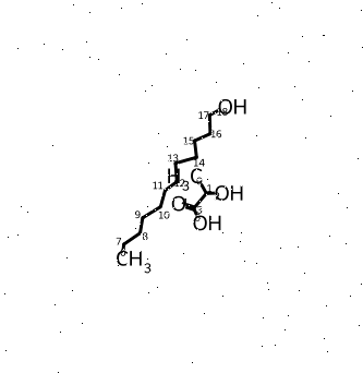 CC(O)C(=O)O.CCCCCCCCCCCCO